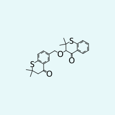 CC1(C)CC(=O)c2cc(COC3C(=O)c4ccccc4SC3(C)C)ccc2S1